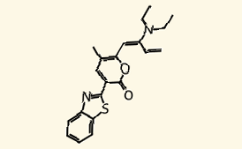 C=C/C(=C\c1oc(=O)c(-c2nc3ccccc3s2)cc1C)N(CC)CC